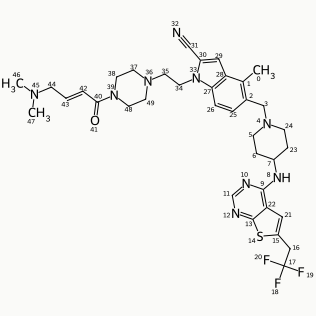 Cc1c(CN2CCC(Nc3ncnc4sc(CC(F)(F)F)cc34)CC2)ccc2c1cc(C#N)n2CCN1CCN(C(=O)/C=C/CN(C)C)CC1